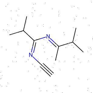 C#C/N=C(\N=C(/C)C(C)C)C(C)C